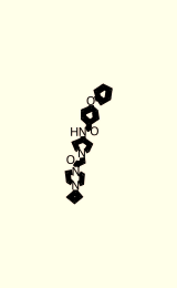 O=C(NC1CCN(CC(=O)N2CCN(C3CCC3)CC2)CC1)c1ccc(Oc2ccccc2)cc1